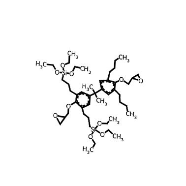 CCCCc1cc(C(C)(C)c2cc(CCC[Si](OCC)(OCC)OCC)c(OCC3CO3)c(CCC[Si](OCC)(OCC)OCC)c2)cc(CCCC)c1OCC1CO1